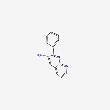 Nc1cc2cccnc2nc1-c1ccccc1